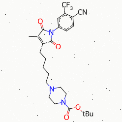 CC1=C(CCCCCN2CCN(C(=O)OC(C)(C)C)CC2)C(=O)N(c2ccc(C#N)c(C(F)(F)F)c2)C1=O